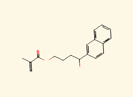 C=C(C)C(=O)OCCCC(O)c1ccc2ccccc2c1